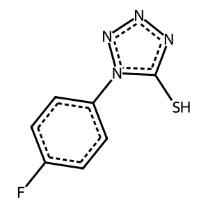 Fc1ccc(-n2nnnc2S)cc1